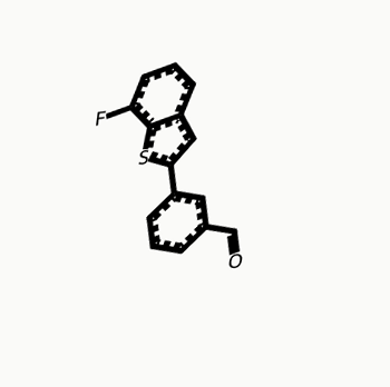 O=Cc1cccc(-c2cc3cccc(F)c3s2)c1